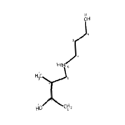 CC(O)C(C)CNCCCO